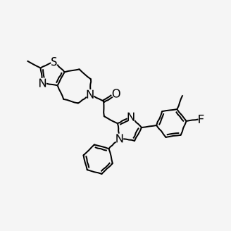 Cc1nc2c(s1)CCN(C(=O)Cc1nc(-c3ccc(F)c(C)c3)cn1-c1ccccc1)CC2